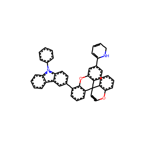 C1=CCNC(c2ccc3c(c2)Oc2c(-c4ccc5c(c4)c4ccccc4n5-c4ccccc4)cccc2C32c3ccccc3Oc3ccccc32)=C1